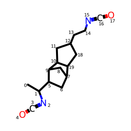 CC(N=C=O)C1CC2CC1C1CC(CCN=C=O)CC21